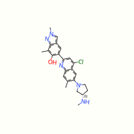 CN[C@H]1CCN(c2cc3c(Cl)cc(-c4cc5cn(C)nc5c(C)c4O)nc3cc2C)C1